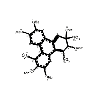 COc1cc2c3c(c4cc(OC)c(OC)c([N+](=O)[O-])c4c2cc1OC)=C([N+](=O)[O-])C(OC)C(OC)([N+](=O)[O-])C=3